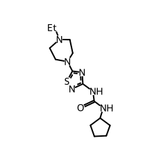 CCN1CCN(c2nc(NC(=O)NC3CCCC3)ns2)CC1